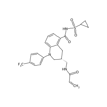 C=CC(=O)NC[C@H]1Cc2c(C(=O)NS(=O)(=O)C3CC3)cccc2N(c2ccc(C(F)(F)F)cc2)C1